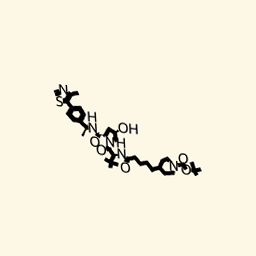 Cc1ncsc1-c1ccc([C@H](C)NC(=O)[C@@H]2C[C@@H](O)CN2C(=O)[C@@H](NC(=O)CCCCC2CCN(C(=O)OC(C)(C)C)CC2)C(C)(C)C)cc1